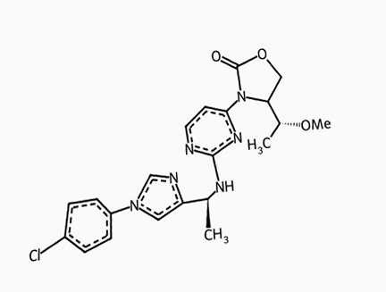 CO[C@H](C)C1COC(=O)N1c1ccnc(N[C@@H](C)c2cn(-c3ccc(Cl)cc3)cn2)n1